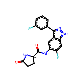 O=C1CC[C@H](C(=O)Nc2cc3c(-c4cccc(F)c4)n[nH]c3cc2F)N1